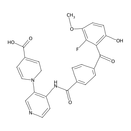 COc1ccc(O)c(C(=O)c2ccc(C(=O)Nc3ccncc3N3C=CC(C(=O)O)=CC3)cc2)c1F